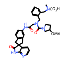 COC1CCN(C(=O)N(CC(=O)Nc2ccc3c(c2)CC2(C3)C(=O)Nc3ncccc32)Cc2ccccc2CN(C)C(=O)O)C1